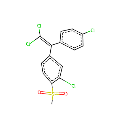 CS(=O)(=O)c1ccc(C(=C(Cl)Cl)c2ccc(Cl)cc2)cc1Cl